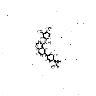 COc1ccc(Nc2ncnc3ccc(-c4ccc(NC(C)=O)cc4)cc23)cc1Cl